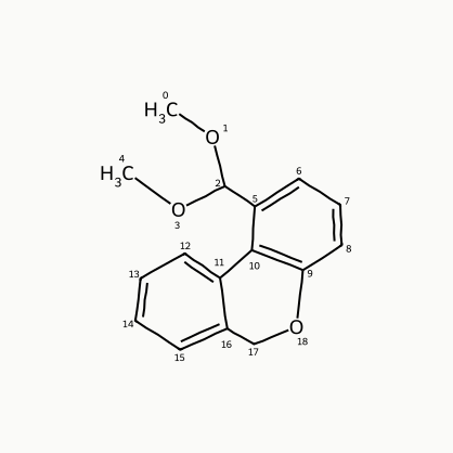 COC(OC)c1cccc2c1-c1ccccc1CO2